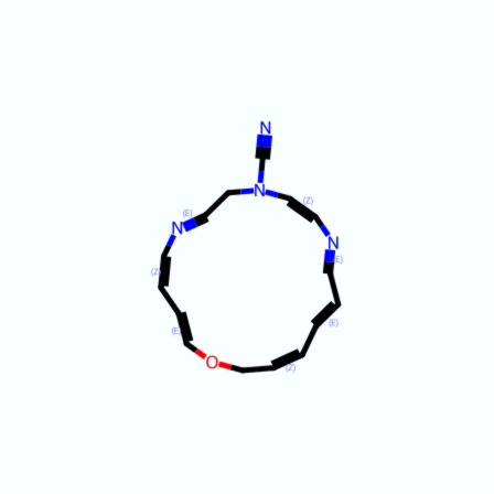 N#CN1\C=C/N=C/C=C/C=C\CO/C=C/C=C\N=C\C1